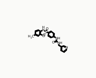 Cc1ccc(NS(=O)(=O)c2ccc(NC(=O)NCc3cccnc3)cc2)c(Cl)c1